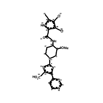 COC1CN(c2nc(-c3ccncn3)c(C(=O)O)s2)CCC1NC(=O)c1[nH]c(C)c(Cl)c1Cl